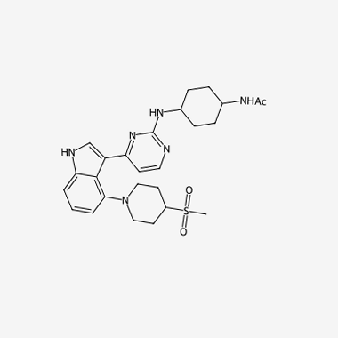 CC(=O)NC1CCC(Nc2nccc(-c3c[nH]c4cccc(N5CCC(S(C)(=O)=O)CC5)c34)n2)CC1